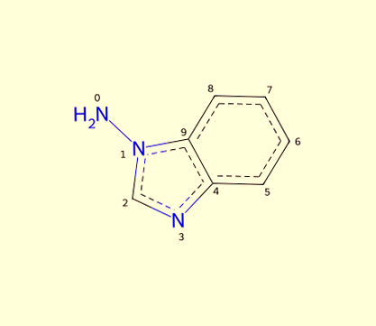 Nn1cnc2ccccc21